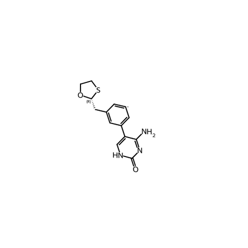 Nc1nc(=O)[nH]cc1-c1c[c]cc(C[C@@H]2OCCS2)c1